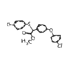 COC(=O)C(Sc1ccc(Cl)cc1)c1ccc(Oc2ccc(Cl)cc2)cc1